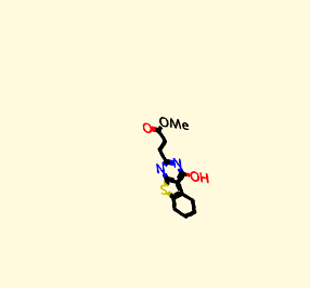 COC(=O)CCc1nc(O)c2c3c(sc2n1)CCCC3